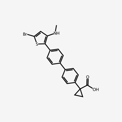 CNc1cc(Br)sc1-c1ccc(-c2ccc(C3(C(=O)O)CC3)cc2)cc1